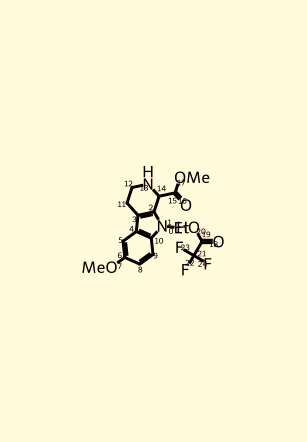 CCn1c2c(c3cc(OC)ccc31)CCNC2C(=O)OC.O=C(O)C(F)(F)F